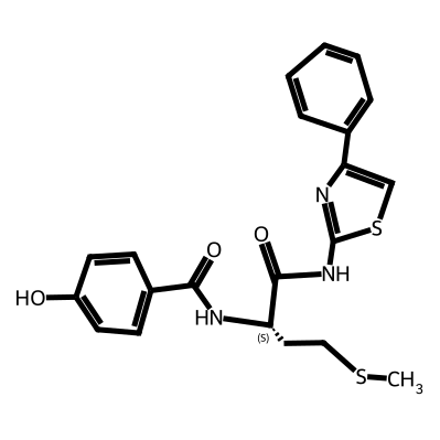 CSCC[C@H](NC(=O)c1ccc(O)cc1)C(=O)Nc1nc(-c2ccccc2)cs1